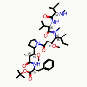 CC[C@H](C)[C@@H]([C@@H](CC(=O)N1CCCC1[C@H](OC)[C@@H](C)C(=O)N[C@@H](Cc1ccccc1)C(=O)OC(C)(C)C)OC)N(C)C(=O)[C@@H](NC(=O)[C@@H](NC)C(C)C)C(C)C